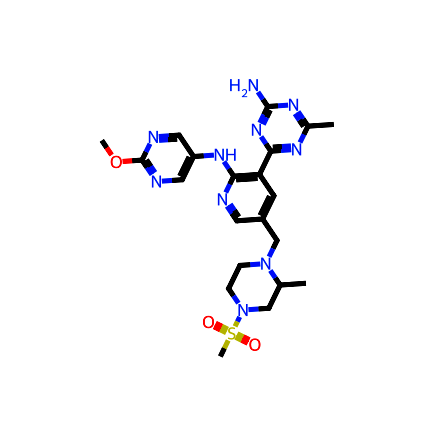 COc1ncc(Nc2ncc(CN3CCN(S(C)(=O)=O)CC3C)cc2-c2nc(C)nc(N)n2)cn1